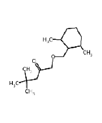 CC1CCCC(C)C1COCC(=O)CC(C)(C)C